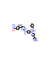 Cn1cc(-c2ccc(N(C(=O)NCc3ccccc3)c3ccc(Nc4ncc(C#N)c(-c5ccc(C(N)=O)cc5)n4)cc3)nc2)cn1